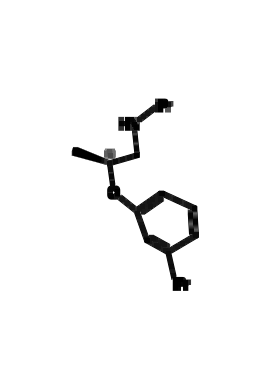 CC(C)NC[C@H](C)Oc1cccc(C(C)C)c1